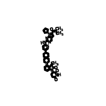 CN(C)C(=O)c1cc2cnc(Nc3ccc(C4CCC5(CC4)CCN(c4cccc6c4n(C)c(=O)n6[C@H]4CCC(=O)NC4=O)CC5)cn3)nc2n1C1CCCC1